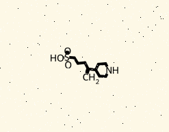 C=C(CCCS(=O)(=O)O)C1CCNCC1